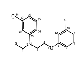 CCN(CCOc1cccc(C)c1)c1cccc(Cl)c1